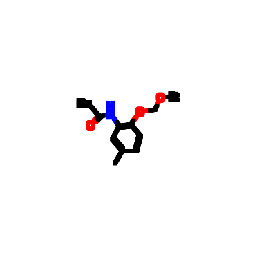 CCOCOc1ccc(C)cc1NC(=O)C(C)CC